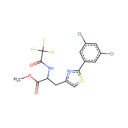 COC(=O)C(Cc1csc(-c2cc(Cl)cc(Cl)c2)n1)NC(=O)C(F)(F)F